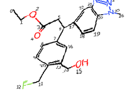 CCOC(=O)CC(c1ccc(CF)c(CO)c1)c1ccc2c(c1)nnn2C